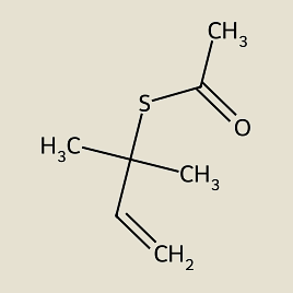 C=CC(C)(C)SC(C)=O